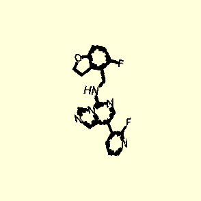 Fc1ccc2c(c1CNc1ncc(-c3cccnc3F)c3cncn13)CCO2